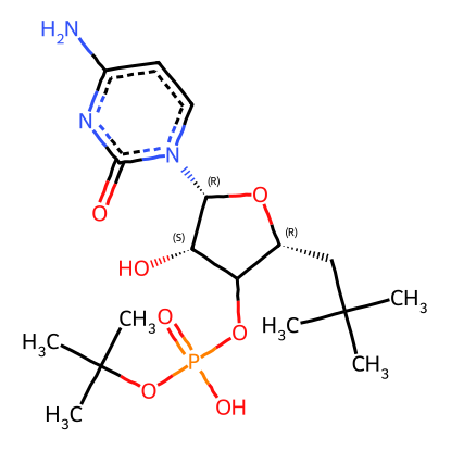 CC(C)(C)C[C@H]1O[C@@H](n2ccc(N)nc2=O)[C@@H](O)C1OP(=O)(O)OC(C)(C)C